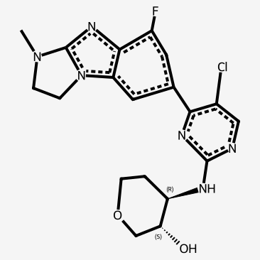 CN1CCn2c1nc1c(F)cc(-c3nc(N[C@@H]4CCOC[C@H]4O)ncc3Cl)cc12